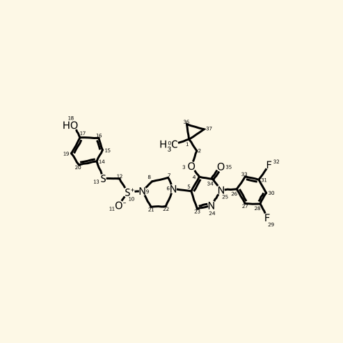 CC1(COc2c(N3CCN([S+]([O-])CSc4ccc(O)cc4)CC3)cnn(-c3cc(F)cc(F)c3)c2=O)CC1